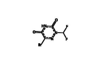 O=c1[nH]c(=O)n(C(F)F)nc1Br